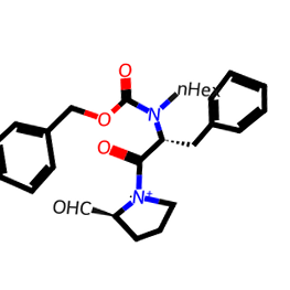 CCCCCCN(C(=O)OCc1ccccc1)[C@H](Cc1ccccc1)C(=O)[N+]1CCC[C@H]1C=O